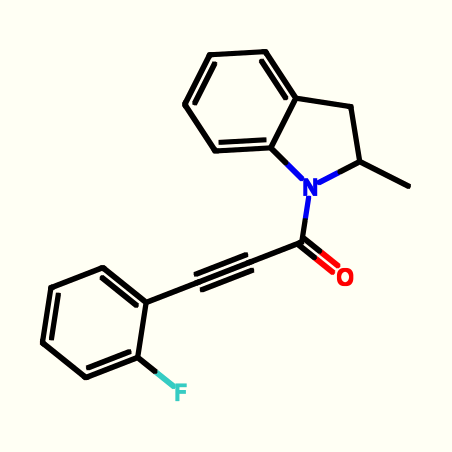 CC1Cc2ccccc2N1C(=O)C#Cc1ccccc1F